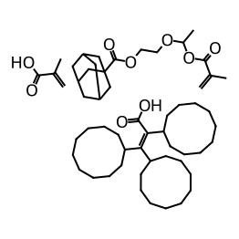 C=C(C)C(=O)O.C=C(C)C(=O)OC(C)OCCOC(=O)C12CC3CC(CC(C3)C1)C2.O=C(O)C(=C(C1CCCCCCCCC1)C1CCCCCCCCC1)C1CCCCCCCCC1